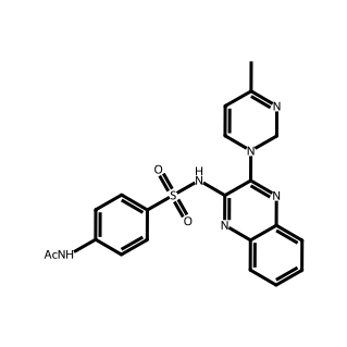 CC(=O)Nc1ccc(S(=O)(=O)Nc2nc3ccccc3nc2N2C=CC(C)=NC2)cc1